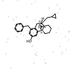 Oc1cc(Cc2ccccc2)c2c(c1)[C@@]13CCCC[C@H]1[C@@H](C2)N(CC1CC1)CC3